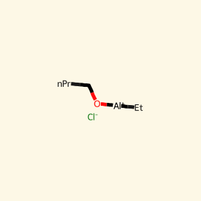 CCCC[O][Al+][CH2]C.[Cl-]